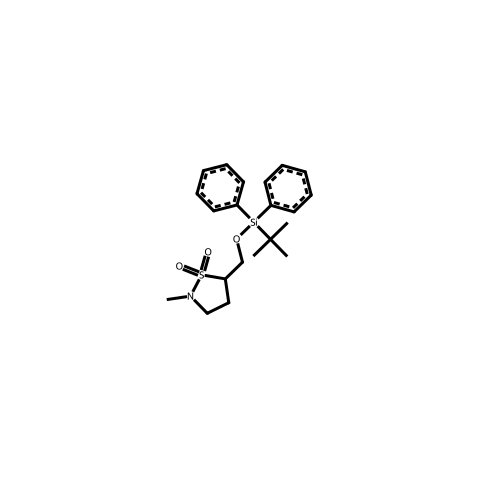 CN1CCC(CO[Si](c2ccccc2)(c2ccccc2)C(C)(C)C)S1(=O)=O